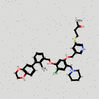 COC(=O)CCSc1cncc(COc2cc(OCc3cccc(-c4ccc5c(c4)OCCO5)c3C)c(Cl)cc2CN2CCCCC2)c1